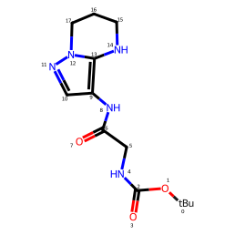 CC(C)(C)OC(=O)NCC(=O)Nc1cnn2c1NCCC2